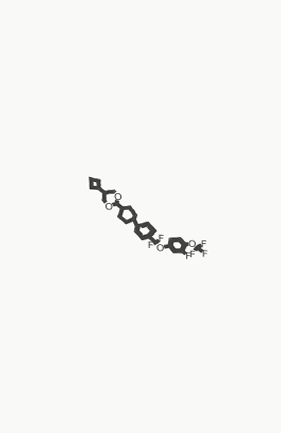 Fc1cc(OC(F)(F)c2ccc(C3CCC(C4OCC(C5CCC5)CO4)CC3)cc2)ccc1OC(F)(F)F